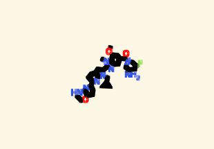 COc1cc(C(=O)N2C[C@H](N)C[C@@H](F)C2)cc2nc(-c3cc4ccc(-c5ccc6c(n5)NCCO6)nc4n3CC3CC3)n(C)c12